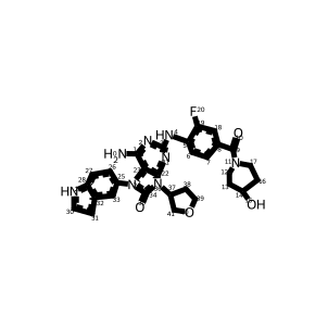 Nc1nc(Nc2ccc(C(=O)N3CCC(O)CC3)cc2F)nc2c1n(-c1ccc3[nH]ccc3c1)c(=O)n2C1CCOC1